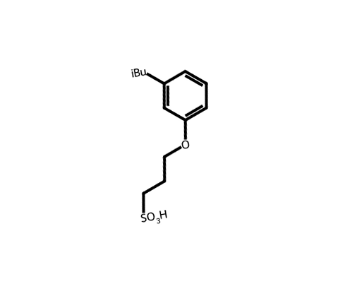 CCC(C)c1cccc(OCCCS(=O)(=O)O)c1